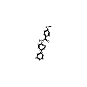 COc1ccc(C(=O)Nc2ccc(-c3ccccn3)cn2)cc1